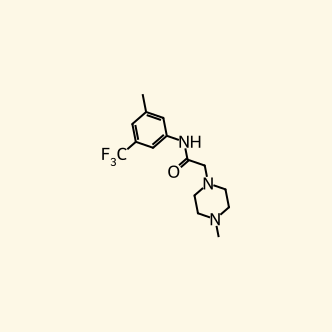 Cc1cc(NC(=O)CN2CCN(C)CC2)cc(C(F)(F)F)c1